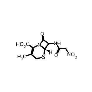 CC1=C(C(=O)O)N2C(=O)C(NC(=O)C[N+](=O)[O-])[C@@H]2SC1